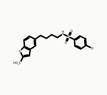 O=C(O)c1cc2cc(CCCCNS(=O)(=O)c3ccc(Cl)cc3)ccc2o1